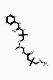 CB(CNC(=O)CC(C)(C)CON)OCC(C)(C)CC(=O)Cc1ccccc1